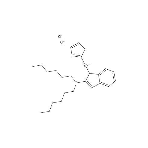 CCCCCCP(CCCCCC)C1=Cc2ccccc2[CH]1[Zr+2][C]1=CC=CC1.[Cl-].[Cl-]